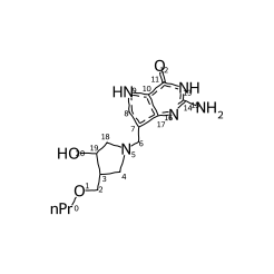 CCCOCC1CN(Cc2c[nH]c3c(=O)[nH]c(N)nc23)CC1O